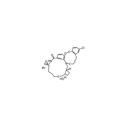 CC(C)[C@H]1CCCC[C@@H](O)[C@@H]2CC[C@H]2CN2CCCCc3cc(Cl)ccc3COc3ccc(cc32)C(=O)NS1(=O)=O